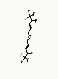 FC(C=CCOCC=CC(F)C(F)(F)F)C(F)(F)F